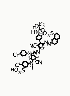 CCNC(=O)Nc1ccc(-c2c(N=Nc3ccc4cccc(S(=O)(=O)O)c4c3)sc(N=Nc3c(Nc4ccc(Cl)cc4)nc(Nc4ccc(Cl)c(S(=O)(=O)O)c4)c(C#N)c3C)c2C#N)cc1